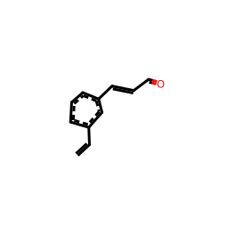 C=Cc1cccc(C=CC=O)c1